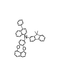 CC1(C)c2ccccc2-c2ccc(N(c3ccc4c(c3)Oc3cccc5cccc(c35)O4)c3ccc(-c4ccccc4)c4ccccc34)cc21